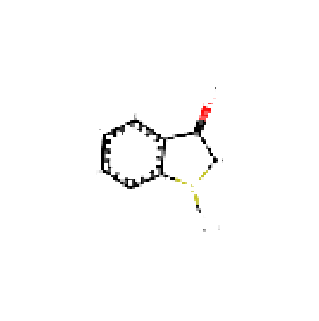 C[S+]1CC(=O)c2ccccc21